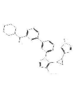 Cn1cc(C2C[C@H]2c2c(C(=O)O)cnn2-c2cccc(-c3cccc(C(O)C4CCCCC4)c3)c2)nn1